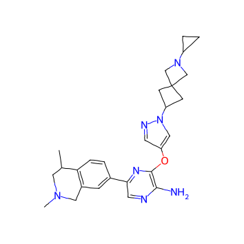 CC1CN(C)Cc2cc(-c3cnc(N)c(Oc4cnn(C5CC6(C5)CN(C5CC5)C6)c4)n3)ccc21